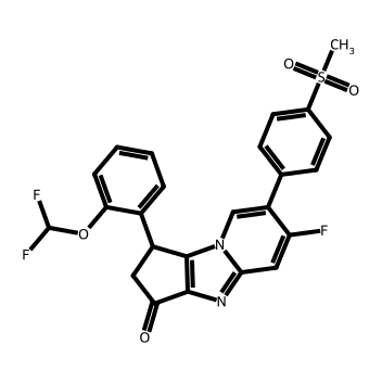 CS(=O)(=O)c1ccc(-c2cn3c4c(nc3cc2F)C(=O)CC4c2ccccc2OC(F)F)cc1